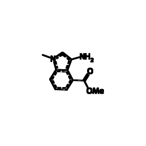 COC(=O)c1cccc2c1c(N)cn2C